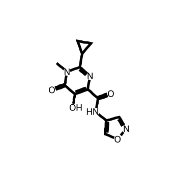 Cn1c(C2CC2)nc(C(=O)Nc2cnoc2)c(O)c1=O